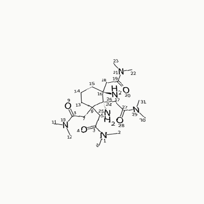 CN(C)C(=O)CC1(CC(=O)N(C)C)CCC[C@](N)(CC(=O)N(C)C)[C@@]1(N)CC(=O)N(C)C